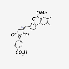 COC(=O)c1cc(C)c(C)cc1-c1ccc(/C=C2/CC(=O)N(c3ccc(C(=O)O)cc3)C2=O)o1